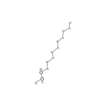 CCCCCCCCCCOOC